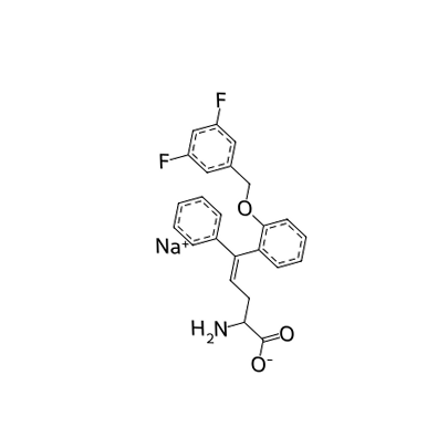 NC(CC=C(c1ccccc1)c1ccccc1OCc1cc(F)cc(F)c1)C(=O)[O-].[Na+]